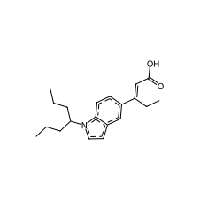 CCCC(CCC)n1ccc2cc(C(=CC(=O)O)CC)ccc21